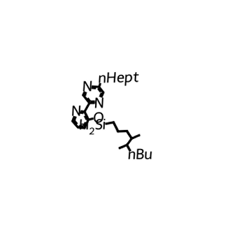 CCCCCCCc1cnc(-c2ncccc2O[SiH2]CCCC(C)C(C)CCCC)cn1